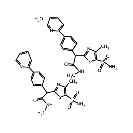 CNC(=O)C(c1ccc(-c2ccccn2)cc1)c1nc(C)c(S(N)(=O)=O)s1.CNC(=O)C(c1ccc(-c2ccccn2)cc1)c1nc(C)c(S(N)(=O)=O)s1.O